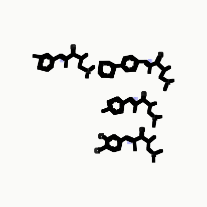 C/C(=C\c1ccc(-c2ccccc2)cc1)C(=O)C(C)CN(C)C.C/C(=C\c1ccc(C)cc1)C(=O)C(C)CN(C)C.C/C(=C\c1ccc(Cl)c(Cl)c1)C(=O)C(C)CN(C)C.C/C(=C\c1cccc(C)c1)C(=O)C(C)CN(C)C